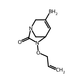 BC1=CC2CN(C1)C(=O)N2OCC=C